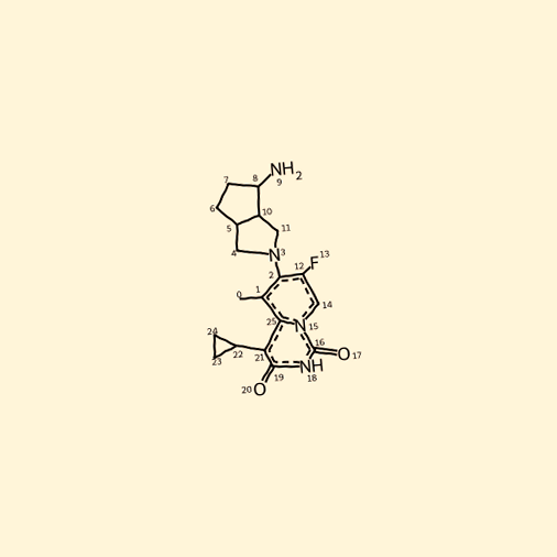 Cc1c(N2CC3CCC(N)C3C2)c(F)cn2c(=O)[nH]c(=O)c(C3CC3)c12